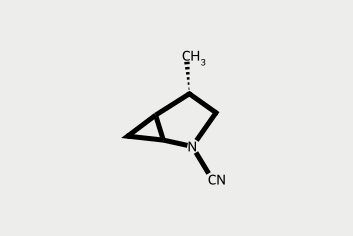 C[C@@H]1CN(C#N)C2CC21